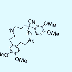 COc1ccc(C(C#N)(CCCN(C)CCc2cc(OC)c(OC)cc2CCC(C)=O)C(C)C)cc1OC